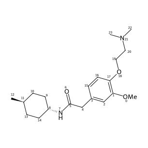 COc1cc(CC(=O)N[C@H]2CC[C@H](C)CC2)ccc1OCCN(C)C